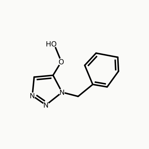 OOc1cnnn1Cc1ccccc1